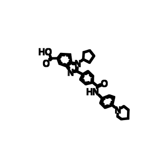 O=C(O)c1ccc2c(c1)nc(-c1ccc(C(=O)Nc3ccc(N4CCCCC4)cc3)cc1)n2C1CCCC1